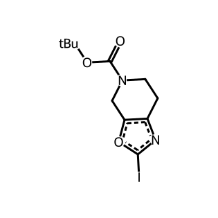 CC(C)(C)OC(=O)N1CCc2nc(I)oc2C1